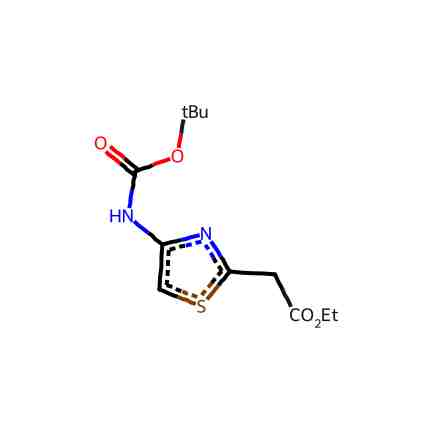 CCOC(=O)Cc1nc(NC(=O)OC(C)(C)C)cs1